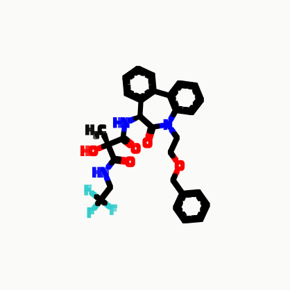 C[C@](O)(C(=O)NCC(F)(F)F)C(=O)N[C@@H]1C(=O)N(CCOCc2ccccc2)c2ccccc2-c2ccccc21